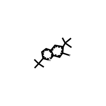 CC(C)(C)c1ccc2cc(C(C)(C)C)c(F)cc2n1